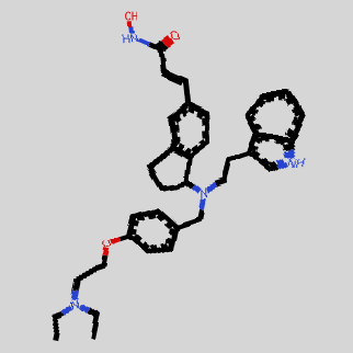 CCN(CC)CCOc1ccc(CN(CCc2c[nH]c3ccccc23)C2CCc3cc(C=CC(=O)NO)ccc32)cc1